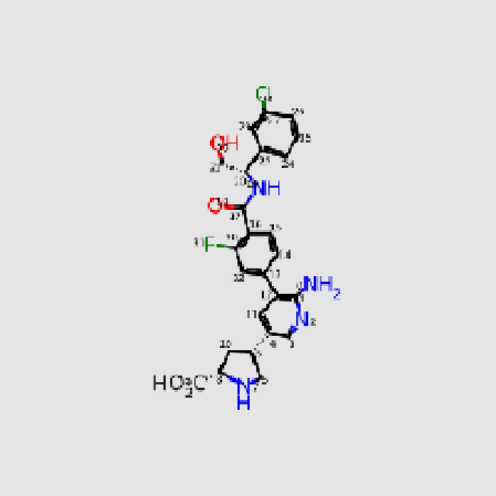 Nc1ncc([C@@H]2CN[C@H](C(=O)O)C2)cc1-c1ccc(C(=O)N[C@H](CO)c2cccc(Cl)c2)c(F)c1